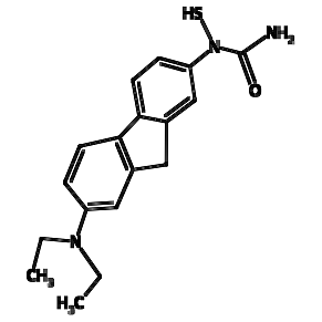 CCN(CC)c1ccc2c(c1)Cc1cc(N(S)C(N)=O)ccc1-2